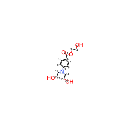 O=C(OCCO)c1ccc(N(CCO)CCO)cc1